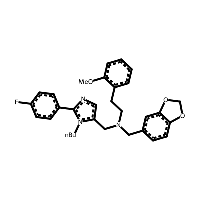 CCCCn1c(CN(CCc2ccccc2OC)Cc2ccc3c(c2)OCO3)cnc1-c1ccc(F)cc1